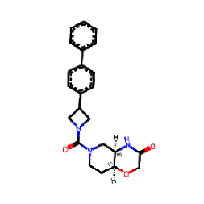 O=C1CO[C@H]2CCN(C(=O)N3CC(c4ccc(-c5ccccc5)cc4)C3)C[C@H]2N1